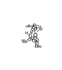 CCCCC(=O)OC(C)CC(c1ccc(OC(=O)OCC(C)(C)C)c(OC(=O)OCC(C)(C)C)c1)[C@H](N)C(=O)O